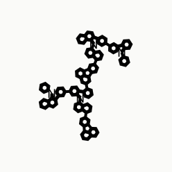 c1ccc(-n2c3ccccc3c3cc(-c4ccc5c6ccc7ccccc7c6n(-c6cccc7c(-c8ccc9c(c8)-c8cccc%10cc(-c%11cccc%12c%11c%11ccc(-c%13ccc%14c(c%13)c%13ccc%15ccccc%15c%13n%14-c%13ccccc%13)cc%11n%12-c%11cccc%12c(-c%13ccc%14c(c%13)-c%13cccc%15cccc-%14c%13%15)cccc%11%12)cc-9c8%10)cccc67)c5c4)ccc32)cc1